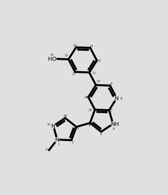 Cn1cc(-c2c[nH]c3ncc(-c4cccc(O)c4)cc23)cn1